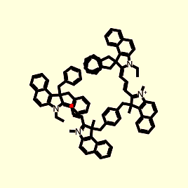 CCN1C(=CC=CC2=[N+](C)c3ccc4ccccc4c3C2(C)Cc2ccc(CC3(C)C(C=CC=C4N(CC)c5ccc6ccccc6c5C4(Cc4ccccc4)Cc4ccccc4)=[N+](C)c4ccc5ccccc5c43)cc2)C(Cc2ccccc2)(Cc2ccccc2)c2c1ccc1ccccc21